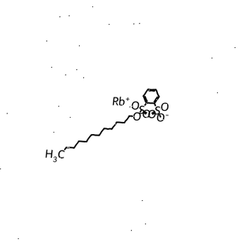 CCCCCCCCCCCCOS(=O)(=O)c1ccccc1S(=O)(=O)[O-].[Rb+]